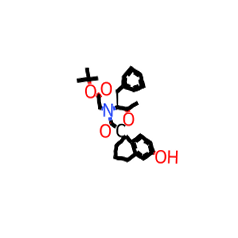 CC(=O)[C@H](Cc1ccccc1)N(CC(=O)OC(C)(C)C)C(=O)CC1CCCc2cc(O)ccc21